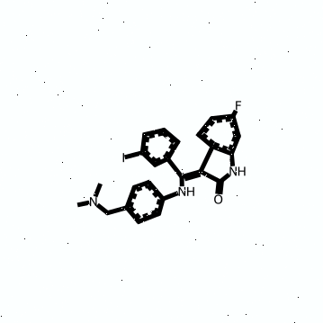 CN(C)Cc1ccc(N/C(=C2\C(=O)Nc3cc(F)ccc32)c2cccc(I)c2)cc1